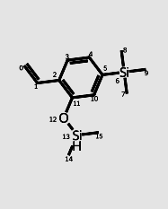 C=Cc1ccc([Si](C)(C)C)cc1O[SiH](C)C